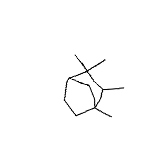 CC1C2(C)CCC(C2)C1(C)C